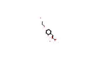 COCCCOc1ccc(/C=C(\OC)C(=O)O)c(O)c1